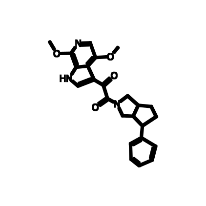 COc1ncc(OC)c2c(C(=O)C(=O)N3CC4CCC(c5ccccc5)C4C3)c[nH]c12